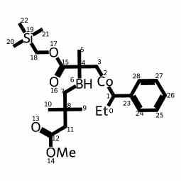 CC[CH]([Co][CH2]C(C)(BCC(C)(C)CC(=O)OC)C(=O)OC[Si](C)(C)C)c1ccccc1